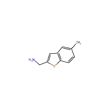 Cc1ccc2sc(CN)cc2c1